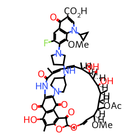 COc1c(N2CCC(NC3CCN(C4=C5NC(=O)/C(C)=C\C=C\[C@H](C)[C@H](O)[C@@H](C)[C@@H](O)[C@@H](C)[C@H](OC(C)=O)[C@H](C)[C@@H](OC)/C=C/O[C@@]6(C)Oc7c(C)c(O)c(c(c7C6=O)C4=O)C5=O)CC3)C2)c(F)cc2c(=O)c(C(=O)O)cn(C3CC3)c12